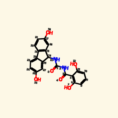 O=C(NC(=O)c1c(O)cccc1O)NC1c2cc(O)ccc2-c2ccc(O)cc21